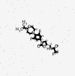 CC(C)N1CCN(c2c(F)cc(N3C[C@H](CNC(=O)C(F)F)OC3=O)cc2F)CCO1